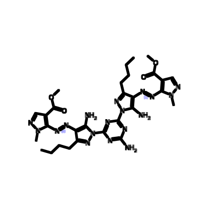 CCCCc1nn(-c2nc(N)nc(-n3nc(CCCC)c(/N=N/c4c(C(=O)OC)cnn4C)c3N)n2)c(N)c1/N=N/c1c(C(=O)OC)cnn1C